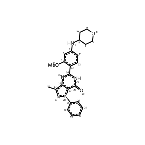 COc1cc(NC2CCOCC2)ccc1-c1nc2c(C)nn(-c3ccccc3)c2c(=O)[nH]1